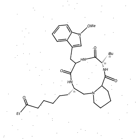 CCC(=O)CCCCC[C@H]1CN2CCCCC2C(=O)N[C@@H]([C@@H](C)CC)C(=O)NC(Cc2cn(OC)c3ccccc23)C(=O)N1